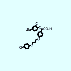 CC(C)(C)c1ccc(OC(C(=O)O)c2ccc(OCCCOc3ccc(Cl)cc3)cc2)c(Cl)c1